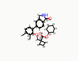 Cc1ccc(-c2ccc3c(c2)CNC3=O)c(OCC2(C(=O)OC3CCCCC3)CCC2)c1C